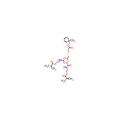 C=C(C)C(=O)OCCNC(=O)OCC(CSCCC(=O)OCC1(C)C=CC=CC1)OC(=O)NCCOC(=O)C(=C)C